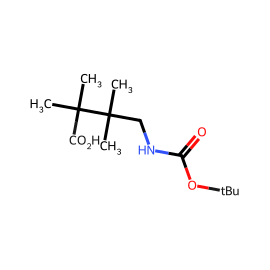 CC(C)(C)OC(=O)NCC(C)(C)C(C)(C)C(=O)O